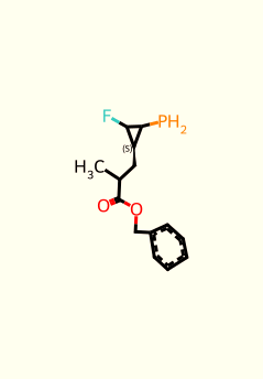 CC(C[C@H]1C(F)C1P)C(=O)OCc1ccccc1